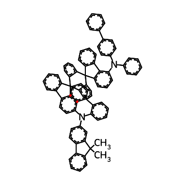 CC1(C)c2ccccc2-c2ccc(N(c3ccc4c(c3)C3(c5ccccc5-4)c4ccccc4C4(c5ccccc5-c5c(N(c6ccccc6)c6ccc(-c7ccccc7)cc6)cccc54)c4ccccc43)c3ccccc3-c3ccccc3)cc21